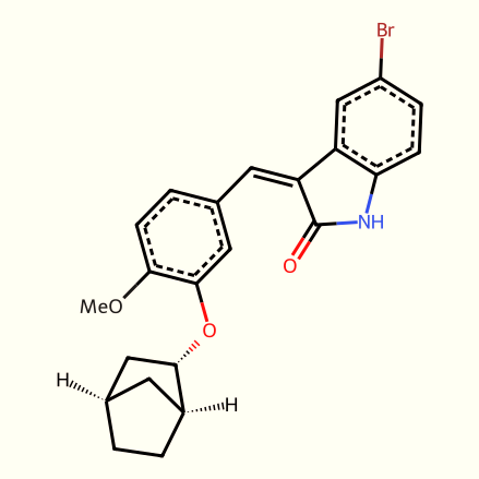 COc1ccc(/C=C2\C(=O)Nc3ccc(Br)cc32)cc1O[C@H]1C[C@@H]2CC[C@H]1C2